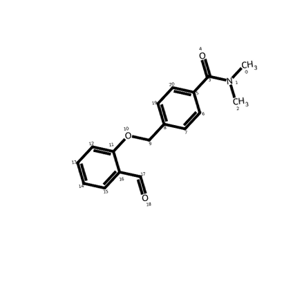 CN(C)C(=O)c1ccc(COc2ccccc2C=O)cc1